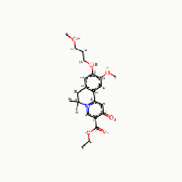 CCOC(=O)c1cn2c(cc1=O)-c1cc(OC)c(OCCCOC)cc1CC2(C)C